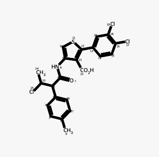 Cc1ccc(C(C(=O)Nc2csc(-c3ccc(Cl)c(Cl)c3)c2C(=O)O)C(C)Cl)cc1